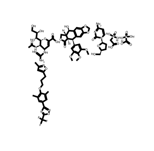 CC(=O)N[C@H]1[C@H]([C@H](O)[C@H](O)CO)OC(C(=O)O)=C[C@@H]1NC(=N)N.COc1cc([C@@H]2c3cc4c(cc3[C@H](O)[C@H]3COC(=O)[C@H]23)OCO4)cc(OC)c1OC.Cc1cc(CCCOc2c(C)cc(-c3noc(C(F)(F)F)n3)cc2C)on1.Nc1ccn([C@H]2CC[C@@H](CO)O2)c(=O)n1.O=C(O)CP(=O)(O)O.O=C(O)P(=O)(O)O